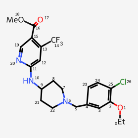 CCOc1cc(CN2CCC(Nc3cc(C(F)(F)F)c(C(=O)OC)cn3)CC2)ccc1Cl